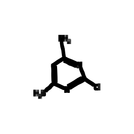 Bc1cc(B)nc(Cl)n1